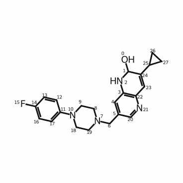 OC1Nc2cc(CN3CCN(c4ccc(F)cc4)CC3)cnc2C=C1C1CC1